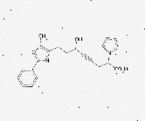 Cc1oc(-c2ccccc2)nc1CCC(O)C#CCC(C(=O)O)n1cccc1